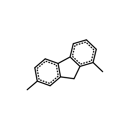 Cc1ccc2c(c1)Cc1c(C)cccc1-2